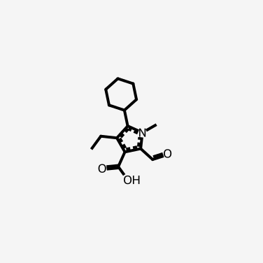 CCc1c(C(=O)O)c(C=O)n(C)c1C1CCCCC1